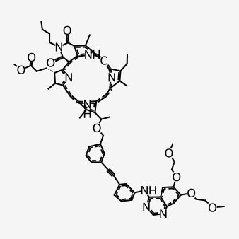 CCCCN1C(=O)c2c3nc(cc4[nH]c(cc5nc(cc6[nH]c2c(c6C)C1=O)C(CC)=C5C)c(C(C)OCc1cccc(C#Cc2cccc(Nc5ncnc6cc(OCCOC)c(OCCOC)cc56)c2)c1)c4C)C(C)[C@@H]3CCC(=O)OC